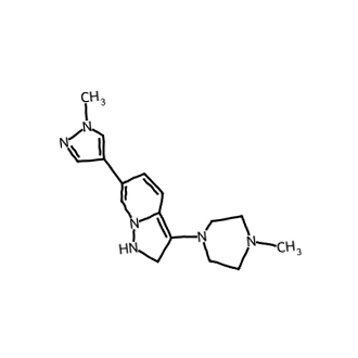 CN1CCN(C2=C3C=CC(c4cnn(C)c4)=CN3NC2)CC1